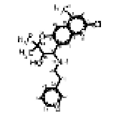 Cc1cc(Cl)nc2cc3c(cc12)OC(C)(C)C(O)C3NCCc1cccnc1